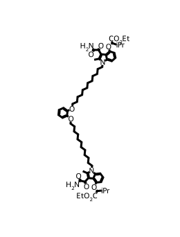 CCOC(=O)C(Oc1cccc2c1c(C(=O)C(N)=O)c(C)n2CCCCCCCCCCCCOc1ccccc1OCCCCCCCCCCCCn1c(C)c(C(=O)C(N)=O)c2c(OC(C(=O)OCC)C(C)C)cccc21)C(C)C